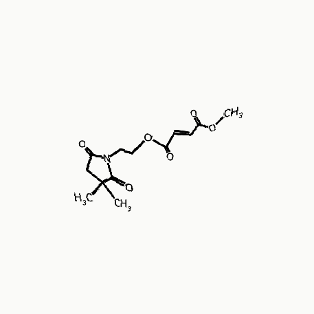 COC(=O)/C=C/C(=O)OCCN1C(=O)CC(C)(C)C1=O